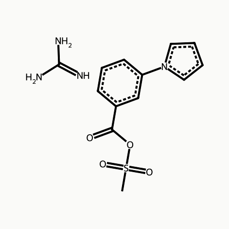 CS(=O)(=O)OC(=O)c1cccc(-n2cccc2)c1.N=C(N)N